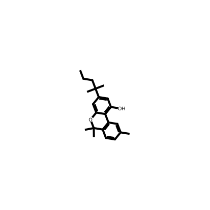 CCCC(C)(C)c1cc(O)c2c(c1)OC(C)(C)c1ccc(C)cc1-2